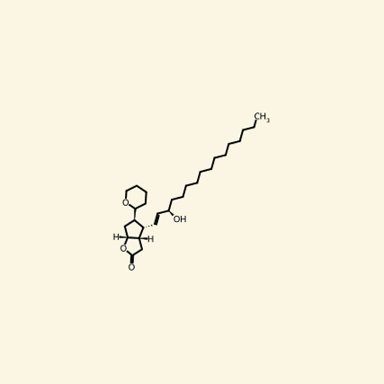 CCCCCCCCCCCCC[C@@H](O)/C=C/[C@@H]1[C@@H]2CC(=O)O[C@@H]2C[C@H]1C1CCCCO1